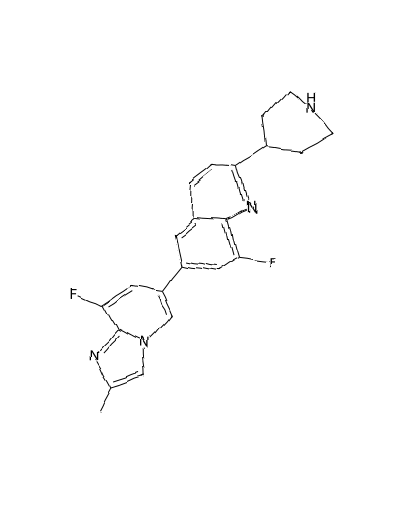 Cc1cn2cc(-c3cc(F)c4nc(C5CCNCC5)ccc4c3)cc(F)c2n1